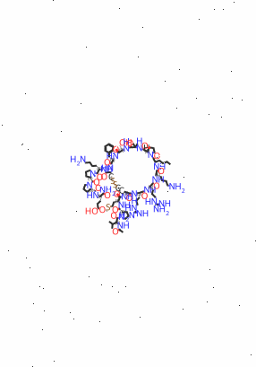 CCCCC1NC(=O)[C@H](CCCCN)NC(=O)[C@H](CCCNC(=N)N)NC(=O)[C@H](CCCNC(=N)N)NC(=O)[C@@H](NC(=O)[C@H](CCSC)NC(=O)[C@@H]2CCCN2C(=O)[C@@H](NC(C)=O)C(C)C)CCSSCC(C(=O)N[C@@H](CCCCN)C(=O)N2CCC[C@H]2C(=O)N2CCC[C@H]2C(=O)N[C@@H](CCC(=O)O)C(N)=O)NC(=O)[C@H](Cc2ccccc2)NC(=O)[C@H](CO)NC(=O)C(C)(C)NC(=O)[C@@H]2CCCN2C1=O